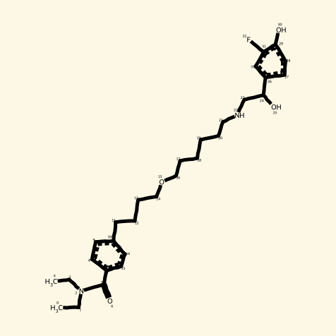 CCN(CC)C(=O)c1ccc(CCCCOCCCCCCNCC(O)c2ccc(O)c(F)c2)cc1